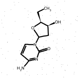 CC[C@@H]1OC(n2ccc(N)nc2=O)C[C@@H]1O